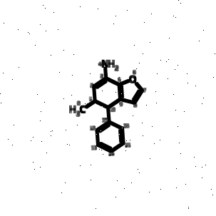 CC1C=C(N)c2occc2C1c1ccccc1